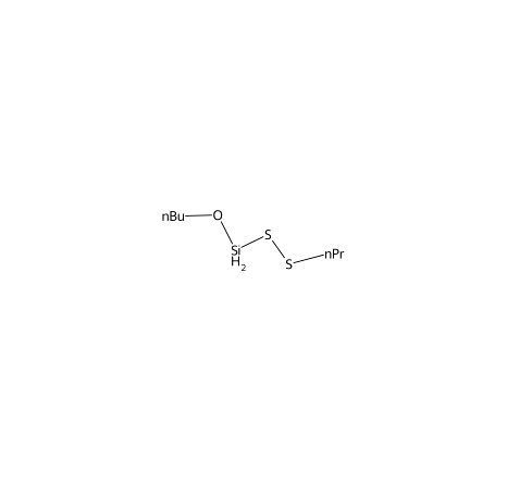 CCCCO[SiH2]SSCCC